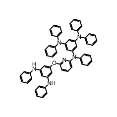 c1ccc(Nc2cc(Nc3ccccc3)cc(Oc3cccc(N(c4ccccc4)c4cc(N(c5ccccc5)c5ccccc5)cc(N(c5ccccc5)c5ccccc5)c4)n3)c2)cc1